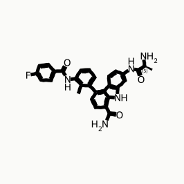 Cc1c(NC(=O)c2ccc(F)cc2)cccc1-c1ccc(C(N)=O)c2[nH]c3cc(NC(=O)[C@H](C)N)ccc3c12